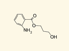 Nc1ccccc1C(=O)OCCCO